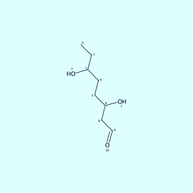 CCC(O)CCC(O)CC=O